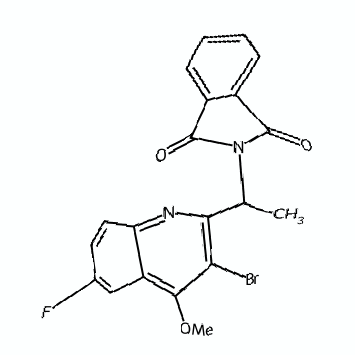 COc1c(Br)c(C(C)N2C(=O)c3ccccc3C2=O)nc2ccc(F)cc12